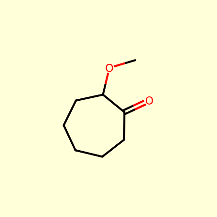 COC1CCCCCC1=O